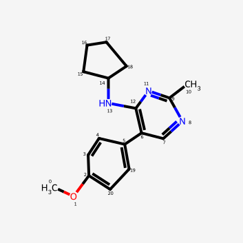 COc1ccc(-c2cnc(C)nc2NC2CCCC2)cc1